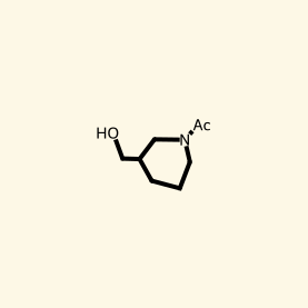 CC(=O)N1CCCC(CO)C1